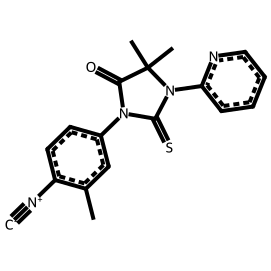 [C-]#[N+]c1ccc(N2C(=O)C(C)(C)N(c3ccccn3)C2=S)cc1C